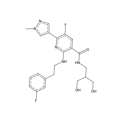 Cn1cc(-c2nc(NCCc3cccc(F)c3)c(C(=O)NCC(CO)CO)cc2F)cn1